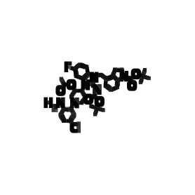 CC(=O)OC1CN(c2cc(Cl)ccc2N)CCC1n1/c(=N\C(=O)OC(C)(C)C)n(Cc2cccc3c2ccn3C(=O)OC(C)(C)C)c2ccc(F)cc21